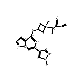 C=CC(=O)N(C)[C@]1(C)C[C@@H](Oc2nc(-c3cnn(C)c3)cn3nccc23)C1